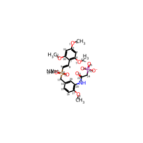 COc1cc(OC)c(C=CS(=O)(=O)Cc2ccc(OC)c(NC(=O)CP(=O)([O-])[O-])c2)c(OC)c1.[Na+].[Na+]